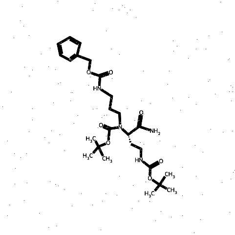 CC(C)(C)OC(=O)NCC[C@@H](C(N)=O)N(CCCNC(=O)OCc1ccccc1)C(=O)OC(C)(C)C